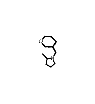 CC1CCCN1CC1CCCOC1